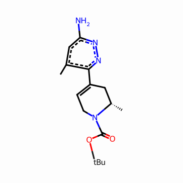 Cc1cc(N)nnc1C1=CCN(C(=O)OC(C)(C)C)[C@@H](C)C1